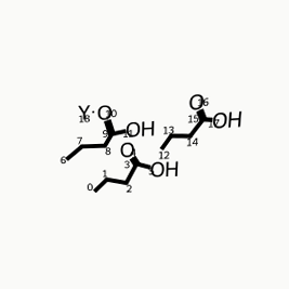 CCCC(=O)O.CCCC(=O)O.CCCC(=O)O.[Y]